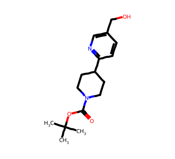 CC(C)(C)OC(=O)N1CCC(c2ccc(CO)cn2)CC1